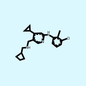 Cc1c(Cl)cccc1Nc1cc(C2CC2)c(CNCC2CCC2)cn1